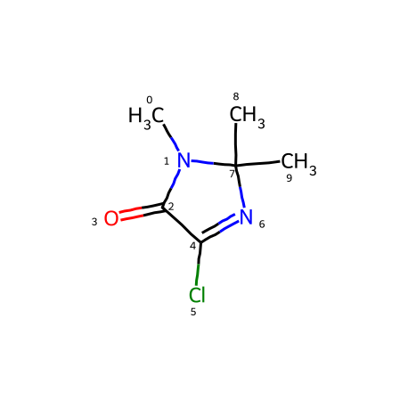 CN1C(=O)C(Cl)=NC1(C)C